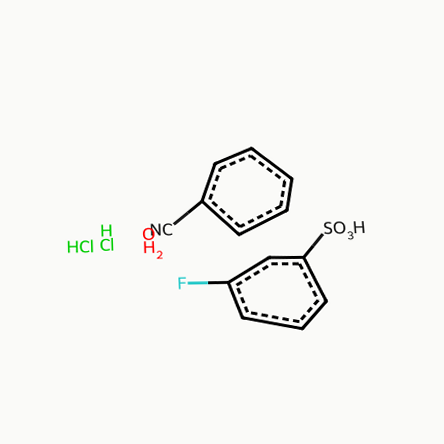 Cl.Cl.N#Cc1ccccc1.O.O=S(=O)(O)c1cccc(F)c1